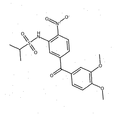 COc1ccc(C(=O)c2ccc([N+](=O)[O-])c(NS(=O)(=O)C(C)C)c2)cc1OC